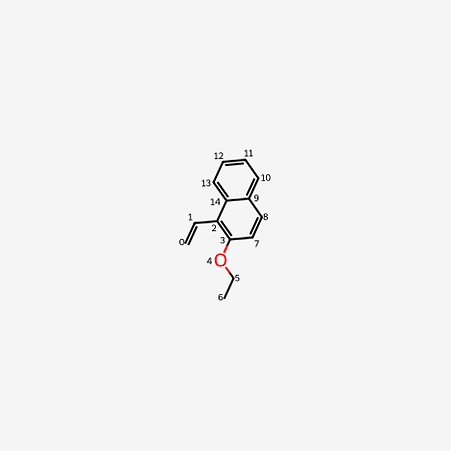 C=Cc1c(OCC)ccc2ccccc12